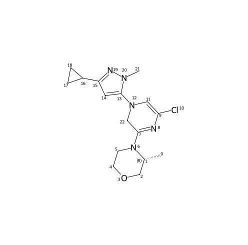 C[C@@H]1COCCN1C1=NC(Cl)=CN(c2cc(C3CC3)nn2C)C1